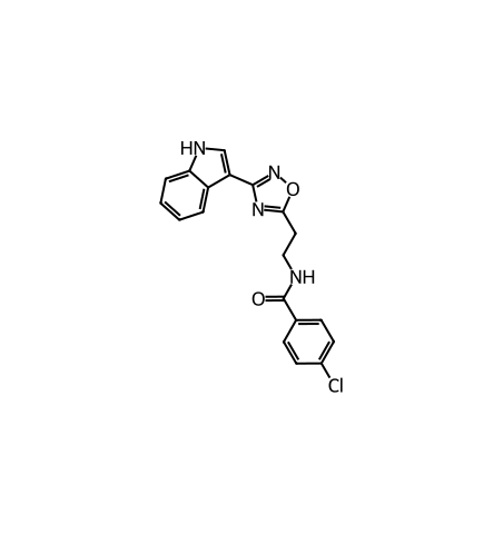 O=C(NCCc1nc(-c2c[nH]c3ccccc23)no1)c1ccc(Cl)cc1